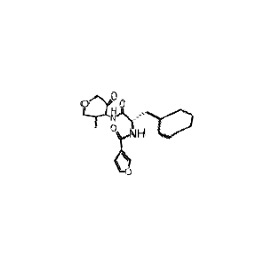 CC1COCC(=O)C1NC(=O)[C@H](CC1CCCCC1)NC(=O)c1ccoc1